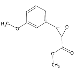 COC(=O)C1OC1c1cccc(OC)c1